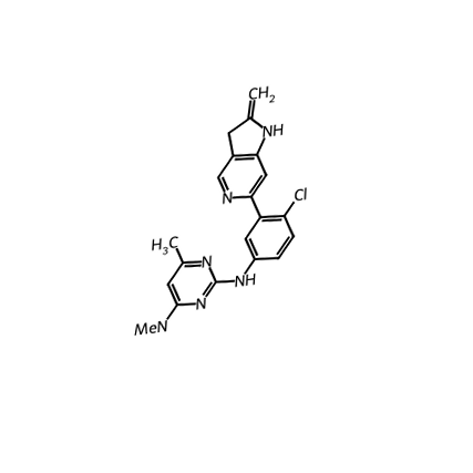 C=C1Cc2cnc(-c3cc(Nc4nc(C)cc(NC)n4)ccc3Cl)cc2N1